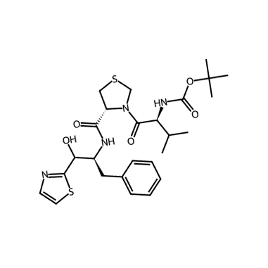 CC(C)[C@H](NC(=O)OC(C)(C)C)C(=O)N1CSC[C@H]1C(=O)N[C@@H](Cc1ccccc1)C(O)c1nccs1